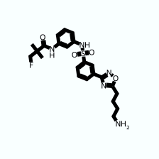 CC(C)(CF)C(=O)Nc1cccc(NS(=O)(=O)c2cccc(-c3noc(CCCCN)n3)c2)c1